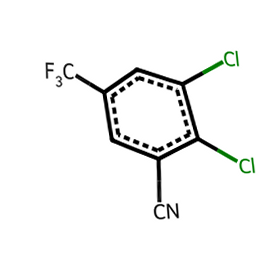 N#Cc1cc(C(F)(F)F)cc(Cl)c1Cl